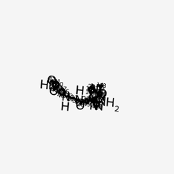 Nc1ncnc2c1c(-c1noc(C3CC3)c1-c1ccccn1)nn2C1CC(C(=O)NCCCCNc2ccc([C@H]3CCC(=O)NC3=O)cc2)C1